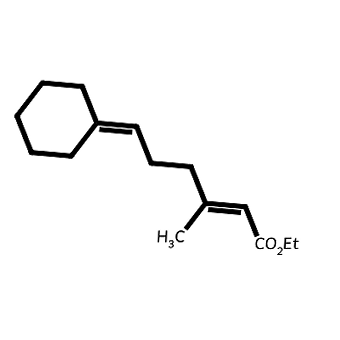 CCOC(=O)/C=C(\C)CCC=C1CCCCC1